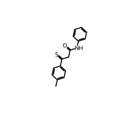 Cc1ccc(C(=S)CC(=O)Nc2ccccc2)cc1